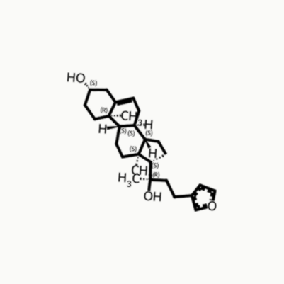 C[C@]12CC[C@H]3[C@@H](CC=C4C[C@@H](O)CC[C@@]43C)[C@@H]1CC[C@@H]2[C@](C)(O)CCc1ccoc1